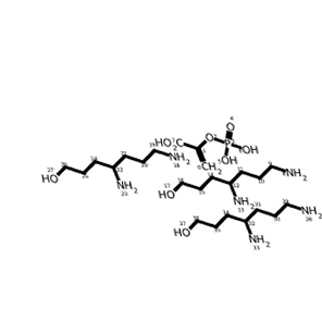 C=C(OP(=O)(O)O)C(=O)O.NCCCC(N)CCCO.NCCCC(N)CCCO.NCCCC(N)CCCO